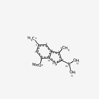 COc1cc(C)cc2c(C)c(B(O)O)sc12